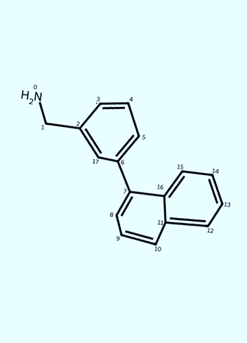 NCc1[c]ccc(-c2cccc3ccccc23)c1